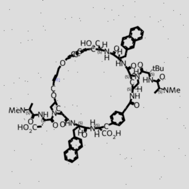 CN[C@@H](C)C(=O)N[C@@H](CC(=O)O)C(=O)N1CC2CC1C(=O)N[C@@H](Cc1ccc3ccccc3c1)C(=O)N[C@H](C(=O)O)Cc1ccc(cc1)C(=O)N[C@H]1C[C@@H](C(=O)N[C@@H](Cc3ccc4ccccc4c3)C(=O)N[C@H](C(=O)O)Cc3ccc(cc3)OC/C=C/CO2)N(C(=O)[C@@H](NC(=O)[C@H](C)NC)C(C)(C)C)C1